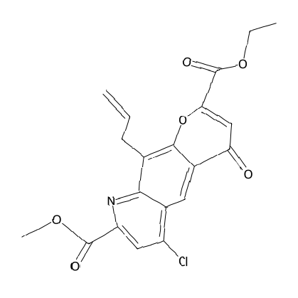 C=CCc1c2nc(C(=O)OC)cc(Cl)c2cc2c(=O)cc(C(=O)OCC)oc12